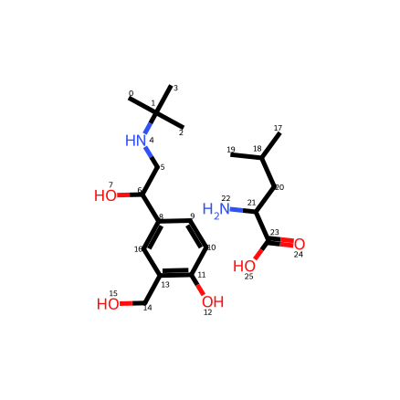 CC(C)(C)NCC(O)c1ccc(O)c(CO)c1.CC(C)CC(N)C(=O)O